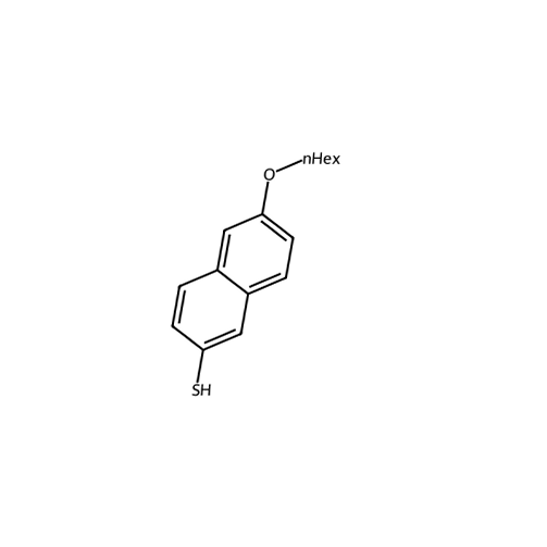 CCCCCCOc1ccc2cc(S)ccc2c1